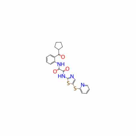 O=C(Nc1ncc(Sc2ccccn2)s1)C(=O)Nc1ccccc1C(=O)C1CCCC1